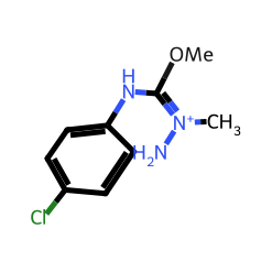 COC(Nc1ccc(Cl)cc1)=[N+](C)N